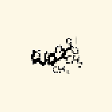 Cc1c(C(=O)O)oc2nn(Cc3cccs3)c(C)c12